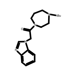 CC(C)(C)N1CCCN(C(=O)Cn2cnc3ccccc32)CC1